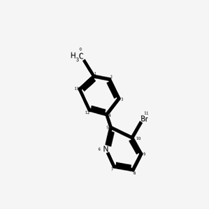 Cc1ccc(-c2ncccc2Br)cc1